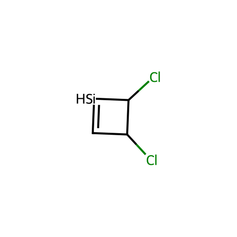 ClC1C=[SiH]C1Cl